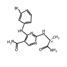 C[C@@H](Nc1ncc(C(N)=O)c(Nc2cccc(Br)c2)n1)C(N)=O